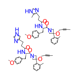 CC#CCOC1(c2ccccc2C)CN(C(=O)[C@@H](Cc2ccc(OC)cc2)NC(=O)CCc2c[nH]cn2)C1.CC#CCOC1(c2ccccc2C)CN(C(=O)[C@@H](Cc2ccc(OC)cc2)NC(=O)CCc2nc[nH]c2C)C1